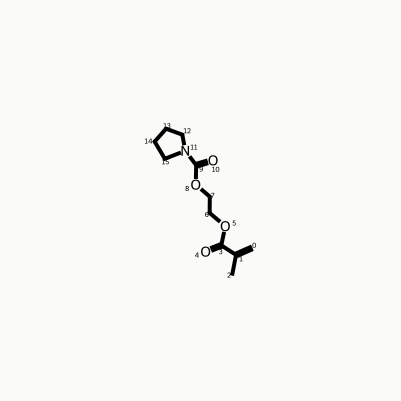 C=C(C)C(=O)OCCOC(=O)N1CCCC1